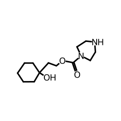 O=C(OCCC1(O)CCCCC1)N1CCNCC1